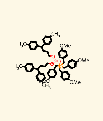 COc1ccc(CP(Cc2ccc(OC)cc2)(Cc2ccc(OC)cc2)(Cc2ccc(OC)cc2)OB(OCCCC(c2ccc(C)cc2)c2ccc(C)cc2)OCCCC(c2ccc(C)cc2)c2ccc(C)cc2)cc1